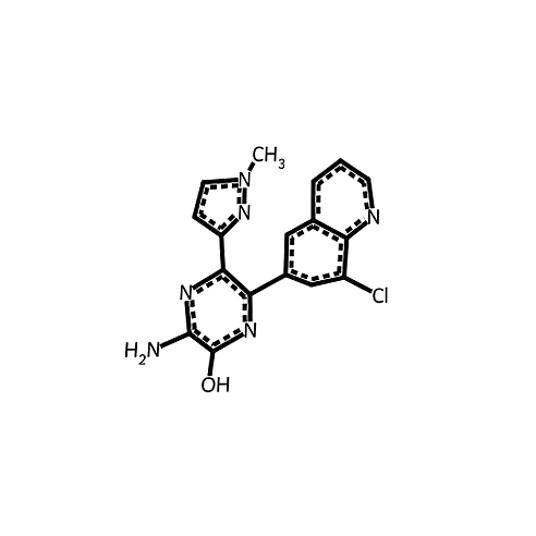 Cn1ccc(-c2nc(N)c(O)nc2-c2cc(Cl)c3ncccc3c2)n1